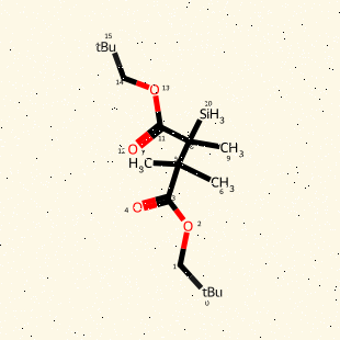 CC(C)(C)COC(=O)C(C)(C)C(C)([SiH3])C(=O)OCC(C)(C)C